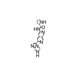 O=C(Nc1cc2cc(-c3cnc4n3CCNC4)ncc2cn1)C1CCCN1